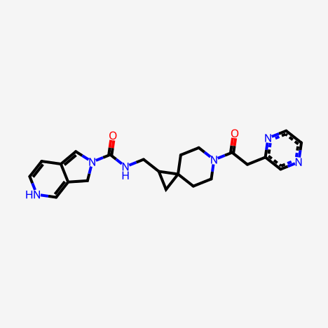 O=C(NCC1CC12CCN(C(=O)Cc1cnccn1)CC2)N1C=C2C=CNC=C2C1